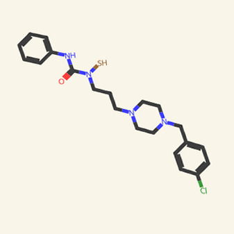 O=C(Nc1ccccc1)N(S)CCCN1CCN(Cc2ccc(Cl)cc2)CC1